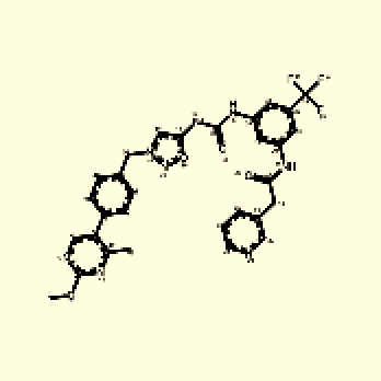 COc1ncc(-c2ccc(C[n+]3cc([N-]C(=O)Nc4cc(NC(=O)Cc5cccnc5)cc(C(F)(F)F)c4)on3)cc2)c(C)n1